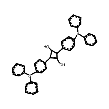 OC1C(c2ccc(N(c3ccccc3)c3ccccc3)cc2)C(O)C1c1ccc(N(c2ccccc2)c2ccccc2)cc1